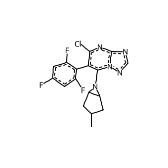 CC1CC2C(C1)N2c1c(-c2c(F)cc(F)cc2F)c(Cl)nc2ncnn12